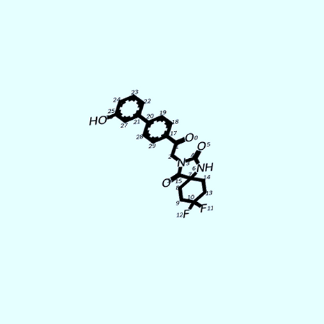 O=C(CN1C(=O)NC2(CCC(F)(F)CC2)C1=O)c1ccc(-c2cccc(O)c2)cc1